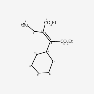 CCOC(=O)C(CC(C)(C)C)=C(C(=O)OCC)C1CCCCC1